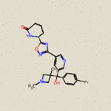 CC(C)c1ccc(C(O)(c2cncc(-c3noc([C@@H]4CCCC(=O)N4)n3)c2)C2(C)CN(C)C2)cc1